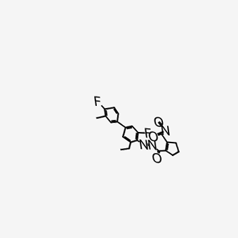 CCc1cc(-c2ccc(F)c(C)c2)cc(F)c1N=NC(=O)C1=C(C(=O)N=O)CCC1